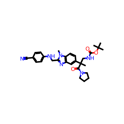 Cn1c(CNc2ccc(C#N)cc2)nc2cc(C(C)(CNC(=O)OC(C)(C)C)C(=O)N3CCCC3)ccc21